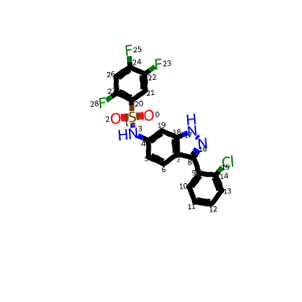 O=S(=O)(Nc1ccc2c(-c3ccccc3Cl)n[nH]c2c1)c1cc(F)c(F)cc1F